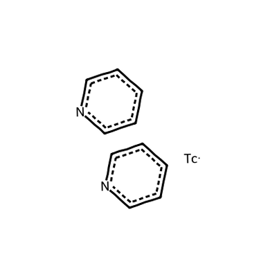 [Tc].c1ccncc1.c1ccncc1